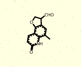 Cc1cc2c(c3ccc(=O)[nH]c13)OCC2C=O